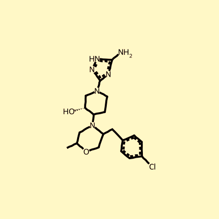 CC1CN(C2CCN(c3n[nH]c(N)n3)C[C@H]2O)C(Cc2ccc(Cl)cc2)CO1